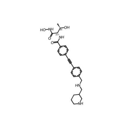 C[C@@H](O)[C@H](NC(=O)c1ccc(C#Cc2ccc(CNCC3CCCNC3)cc2)cc1)C(=O)NO